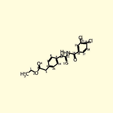 CCOC(=O)Cc1ccc(NC(=S)NC(=O)c2ccc(Cl)c(Cl)c2)cc1